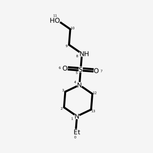 CCN1CCN(S(=O)(=O)NCCO)CC1